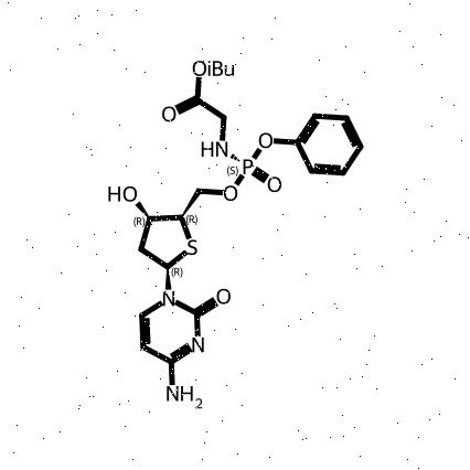 CC(C)COC(=O)CN[P@](=O)(OC[C@H]1S[C@@H](n2ccc(N)nc2=O)C[C@H]1O)Oc1ccccc1